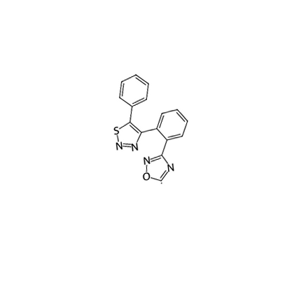 [c]1nc(-c2ccccc2-c2nnsc2-c2ccccc2)no1